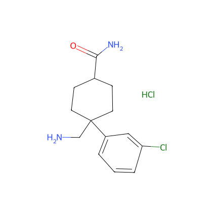 Cl.NCC1(c2cccc(Cl)c2)CCC(C(N)=O)CC1